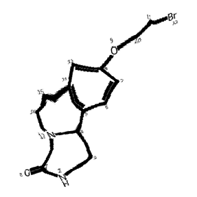 O=C1NCC2c3ccc(OCCBr)cc3CCN12